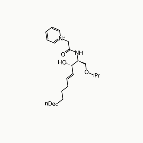 CCCCCCCCCCCCC/C=C/[C@H](O)[C@H](COC(C)C)NC(=O)C[n+]1ccccc1